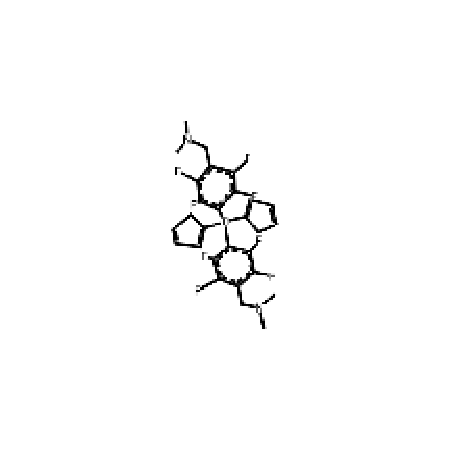 CN(C)Cc1c(F)c(F)[c]([Ti]([C]2=CC=CC2)([C]2=CC=CC2)[c]2c(F)c(F)c(CN(C)C)c(F)c2F)c(F)c1F